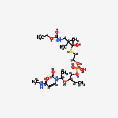 CCOC(=O)NCC(C)(C)C(=O)SCCOP(=O)(O)OCC(CC)OC(C)N(C=O)/C=C\C(=O)NC